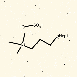 CCCCCCCCCC[N+](C)(C)C.O=S(=O)(O)O